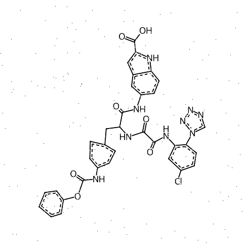 O=C(Nc1ccc(CC(NC(=O)C(=O)Nc2cc(Cl)ccc2-n2cnnn2)C(=O)Nc2ccc3[nH]c(C(=O)O)cc3c2)cc1)Oc1ccccc1